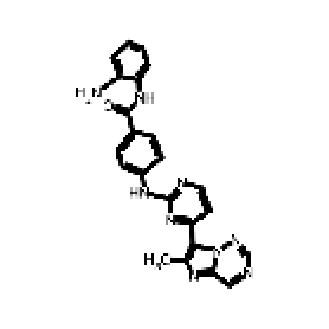 Cc1nc2cncnn2c1-c1ccnc(Nc2ccc(C(=O)Nc3ccccc3N)cc2)n1